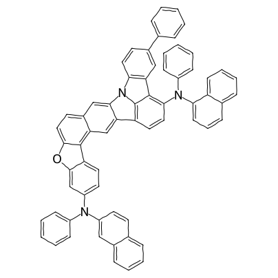 c1ccc(-c2ccc3c(c2)c2c(N(c4ccccc4)c4cccc5ccccc45)ccc4c5cc6c(ccc7oc8cc(N(c9ccccc9)c9ccc%10ccccc%10c9)ccc8c76)cc5n3c42)cc1